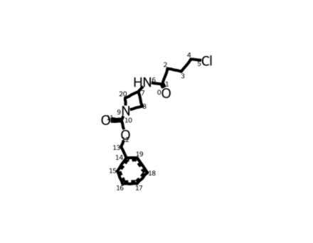 O=C(CCCCl)NC1CN(C(=O)OCc2ccccc2)C1